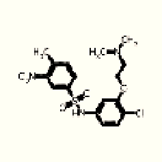 Cc1ccc(S(=O)(=O)Nc2ccc(Cl)c(OCCN(C)C)c2)cc1[N+](=O)[O-]